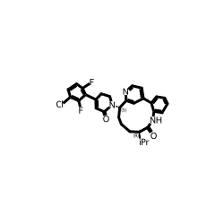 CC(C)[C@H]1CCC[C@H](N2CCC(c3c(F)ccc(Cl)c3F)=CC2=O)c2cc(ccn2)-c2ccccc2NC1=O